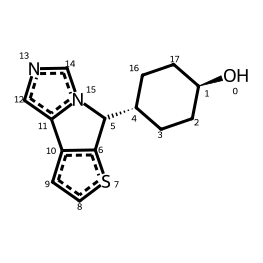 O[C@H]1CC[C@H](C2c3sccc3-c3cncn32)CC1